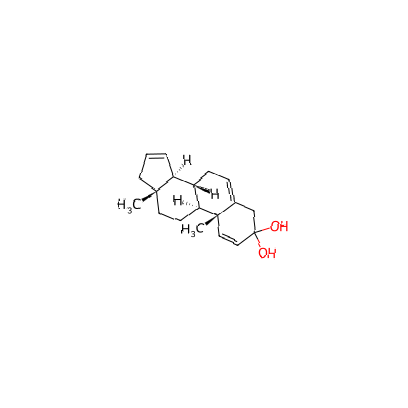 C[C@@]12CC=C[C@H]1[C@@H]1CC=C3CC(O)(O)C=C[C@]3(C)[C@H]1CC2